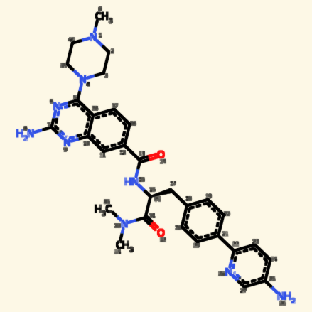 CN1CCN(c2nc(N)nc3cc(C(=O)N[C@@H](Cc4ccc(-c5ccc(N)cn5)cc4)C(=O)N(C)C)ccc23)CC1